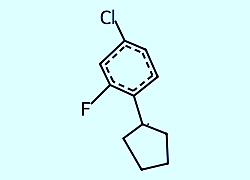 Fc1cc(Cl)ccc1[C]1CCCC1